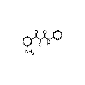 Nc1cccc(C(=O)C(Cl)C(=O)Nc2ccccc2)c1